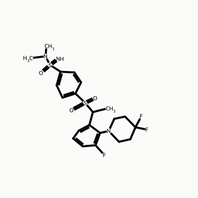 CC(c1cccc(F)c1N1CCC(F)(F)CC1)S(=O)(=O)c1ccc(S(=N)(=O)N(C)C)cc1